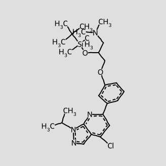 CC(C)n1ncc2c(Cl)cc(-c3cccc(OCC(CN(C)C)O[Si](C)(C)C(C)(C)C)c3)nc21